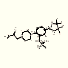 CC1(C)OB(c2ccc(N3CCN(CC(N)=O)CC3)c(NS(C)(=O)=O)c2)OC1(C)C